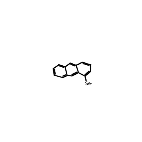 [Se]c1cccc2cc3ccccc3cc12